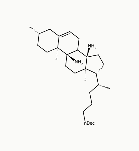 CCCCCCCCCCCCC[C@@H](C)[C@H]1CC[C@@]2(N)C3CC=C4C[C@@H](C)CC[C@]4(C)[C@@]3(N)CC[C@]12C